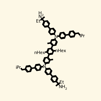 CCCCCCc1cc(-c2ccc(N(c3ccc(-c4ccc(CC(C)C)cc4)cc3)c3ccc(-c4ccc(C(C)(N)CC)cc4)cc3)cc2C)c(CCCCCC)cc1-c1ccc(N(c2ccc(-c3ccc(CC(C)C)cc3)cc2)c2ccc(-c3ccc(C(C)(N)CC)cc3)cc2)cc1C